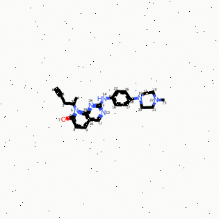 C#CCC(C)n1c(=O)ccc2cnc(Nc3ccc(N4CCN(C)CC4)cc3)nc21